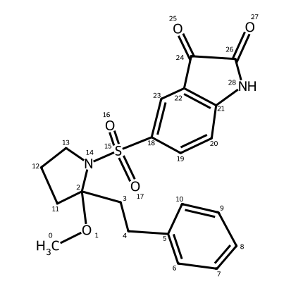 COC1(CCc2ccccc2)CCCN1S(=O)(=O)c1ccc2c(c1)C(=O)C(=O)N2